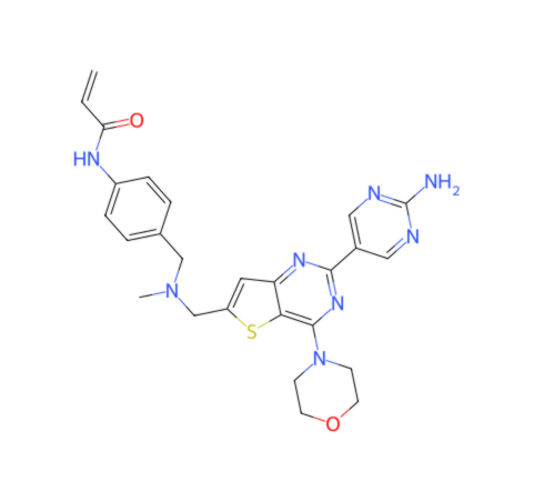 C=CC(=O)Nc1ccc(CN(C)Cc2cc3nc(-c4cnc(N)nc4)nc(N4CCOCC4)c3s2)cc1